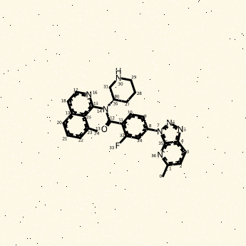 Cc1ccc2nnn(-c3ccc(C(=O)N(c4nccc5cccc(C)c45)[C@@H]4CCCNC4)c(F)c3)c2n1